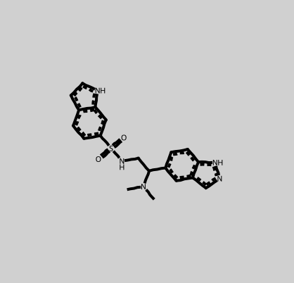 CN(C)C(CNS(=O)(=O)c1ccc2cc[nH]c2c1)c1ccc2[nH]ncc2c1